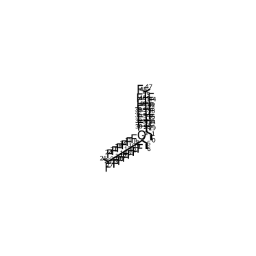 C=CC(OC(C=C)C(F)(F)C(F)(F)C(F)(F)C(F)(F)C(F)(F)C(F)(F)C(C)F)C(F)(F)C(F)(F)C(F)(F)C(F)(F)C(F)(F)C(F)(F)C(C)F